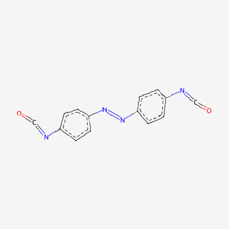 O=C=Nc1ccc(N=Nc2ccc(N=C=O)cc2)cc1